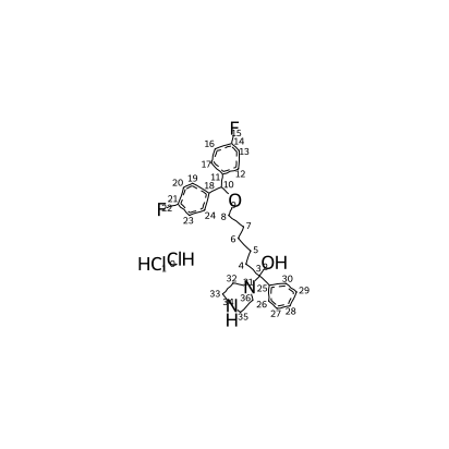 Cl.Cl.OC(CCCCCOC(c1ccc(F)cc1)c1ccc(F)cc1)(c1ccccc1)N1CCNCC1